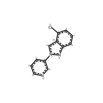 Clc1cccc2nn(-c3cccnc3)cc12